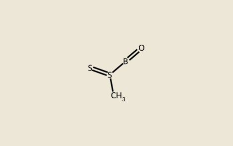 CS(=S)B=O